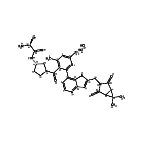 Cc1cc(C(F)(F)F)nc(-c2ccnc3cc(CN4C(=O)C5C(C4=O)C5(C)C)sc23)c1C(=O)N1CC[C@H](NC(=O)[C@@H](N)C(C)C)C1.Cl.Cl